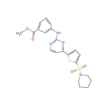 COC(=O)c1cccc(Nc2nccc(-c3ccc(S(=O)(=O)N4CCCCC4)s3)n2)c1